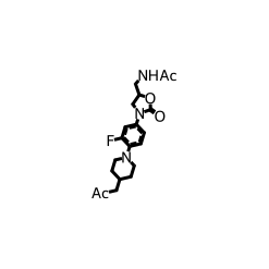 CC(=O)CC1CCN(c2ccc(N3CC(CNC(C)=O)OC3=O)cc2F)CC1